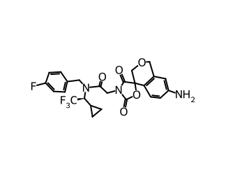 Nc1ccc2c(c1)COCC21OC(=O)N(CC(=O)N(Cc2ccc(F)cc2)[C@@H](C2CC2)C(F)(F)F)C1=O